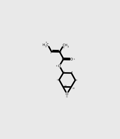 CC=C(C)C(=O)OC1CCC2OC2C1